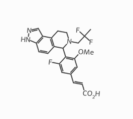 COc1cc(/C=C/C(=O)O)cc(F)c1C1c2ccc3[nH]ncc3c2CCN1CC(C)(F)F